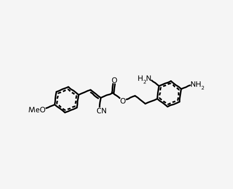 COc1ccc(/C=C(\C#N)C(=O)OCCc2ccc(N)cc2N)cc1